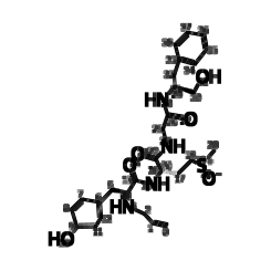 C=CCN[C@@H](Cc1ccc(O)cc1)C(=O)N[C@@H](CC[S+](C)[O-])C(=O)NCC(=O)N[C@H](CO)Cc1ccccc1